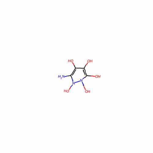 NC1=C(O)C(O)=C(O)N(O)N1O